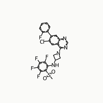 CS(=O)(=O)c1c(F)c(F)c(F)c(F)c1NC1CN(c2ncnc3cc(-c4ccccc4F)c(Cl)cc23)C1